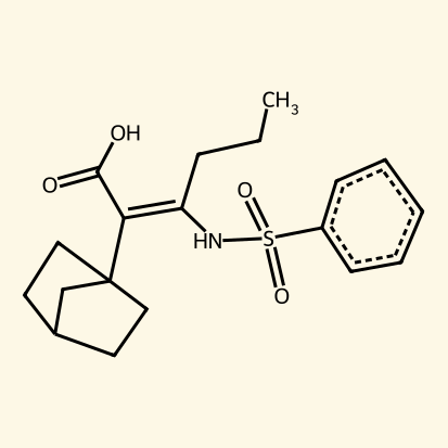 CCCC(NS(=O)(=O)c1ccccc1)=C(C(=O)O)C12CCC(CC1)C2